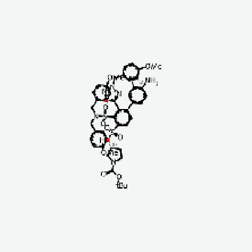 COc1ccc(CN(Cc2ccc(OC)cc2)S(=O)(=O)c2c(S(=O)(=O)N[C@@H]3CCN(C(=O)OC(C)(C)C)C3)ccc(-c3ccc(N)c(N)c3)c2-c2nnn(Cc3ccc(OC)cc3)n2)cc1